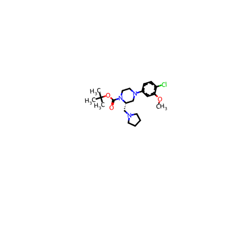 COc1cc(N2CCN(C(=O)OC(C)(C)C)[C@@H](CN3CCCC3)C2)ccc1Cl